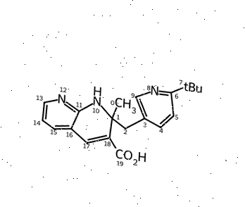 CC1(Cc2ccc(C(C)(C)C)nc2)Nc2ncccc2C=C1C(=O)O